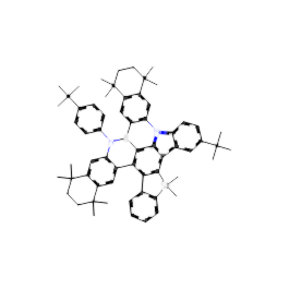 CC(C)(C)c1ccc(N2B3c4cc5c(cc4-n4c6ccc(C(C)(C)C)cc6c6c7c(c(c3c64)-c3cc4c(cc32)C(C)(C)CCC4(C)C)-c2ccccc2[Si]7(C)C)C(C)(C)CCC5(C)C)cc1